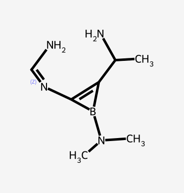 CC(N)C1=C(/N=C\N)B1N(C)C